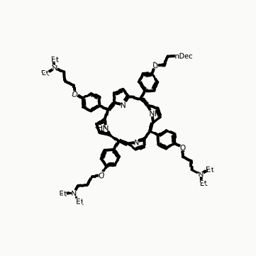 CCCCCCCCCCCCOc1ccc(-c2c3nc(c(-c4ccc(OCCCN(CC)CC)cc4)c4ccc([nH]4)c(-c4ccc(OCCCN(CC)CC)cc4)c4nc(c(-c5ccc(OCCCN(CC)CC)cc5)c5ccc2[nH]5)C=C4)C=C3)cc1